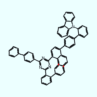 c1ccc(-c2ccc(-c3nc(-c4ccccc4-c4ccccc4)nc(-c4ccc(-c5ccc(-c6ccccc6-n6c7ccccc7c7ccccc76)cc5)c5ccccc45)n3)cc2)cc1